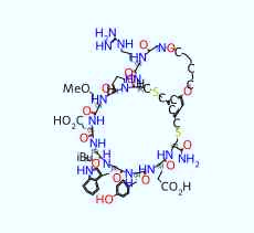 CC[C@H](C)[C@@H]1NC(=O)[C@H](CC(=O)O)NC(=O)[C@H](CCOC)NC(=O)[C@@H]2CCCN2C(=O)[C@@H]2CSCc3cc(cc(c3)OCCCCCCO/N=C/C(=O)N[C@@H](CCCNC(=N)N)C(=O)N2)CSC[C@@H](C(N)=O)NC(=O)[C@H](CCC(=O)O)NC(=O)[C@H](Cc2ccc(O)cc2)NC(=O)[C@H](Cc2c[nH]c3ccccc23)NC1=O